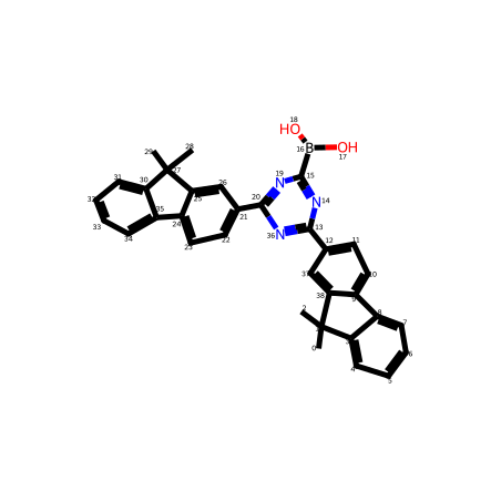 CC1(C)c2ccccc2-c2ccc(-c3nc(B(O)O)nc(-c4ccc5c(c4)C(C)(C)c4ccccc4-5)n3)cc21